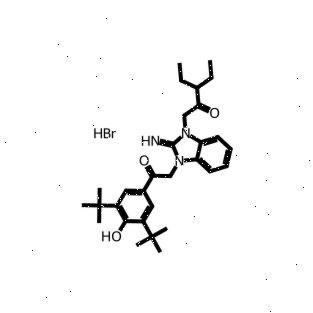 Br.CCC(CC)C(=O)Cn1c(=N)n(CC(=O)c2cc(C(C)(C)C)c(O)c(C(C)(C)C)c2)c2ccccc21